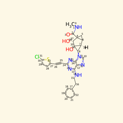 CNC(=O)C12CC1[C@H]1[C@@H](n3cnc4c(NCCc5ccccc5)nc(C#Cc5ccc(Cl)s5)nc43)[C@@]1(O)[C@@H]2O